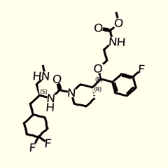 CNC[C@H](CC1CCC(F)(F)CC1)NC(=O)N1CCC[C@@H]([C@@H](OCCNC(=O)OC)c2cccc(F)c2)C1